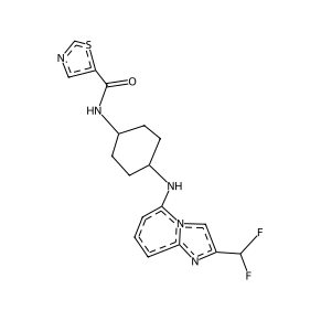 O=C(NC1CCC(Nc2cccc3nc(C(F)F)cn23)CC1)c1cncs1